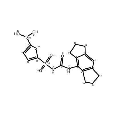 O=C(Nc1c2c(cc3c1CCC3)CCC2)NS(=O)(=O)c1ccc(B(O)O)s1